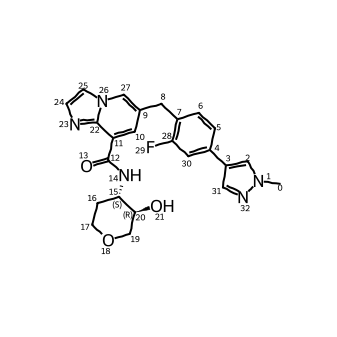 Cn1cc(-c2ccc(Cc3cc(C(=O)N[C@H]4CCOC[C@@H]4O)c4nccn4c3)c(F)c2)cn1